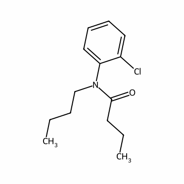 CCCCN(C(=O)CCC)c1ccccc1Cl